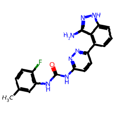 Cc1ccc(F)c(NC(=O)Nc2ccc(-c3cccc4[nH]nc(N)c34)nn2)c1